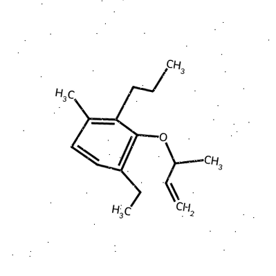 C=CC(C)Oc1c(CC)ccc(C)c1CCC